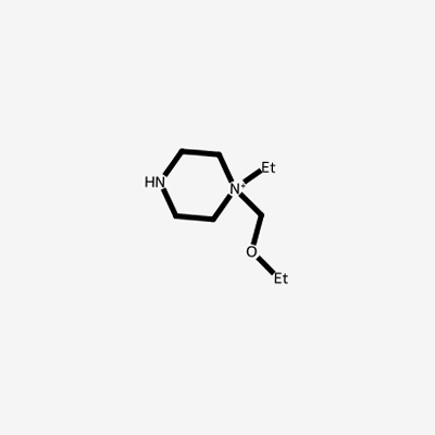 CCOC[N+]1(CC)CCNCC1